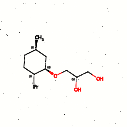 CC(C)[C@@H]1CC[C@@H](C)C[C@H]1OC[C@@H](O)CO